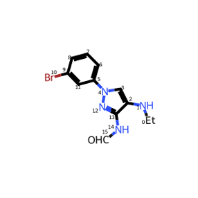 CCNc1cn(-c2cccc(Br)c2)nc1NC=O